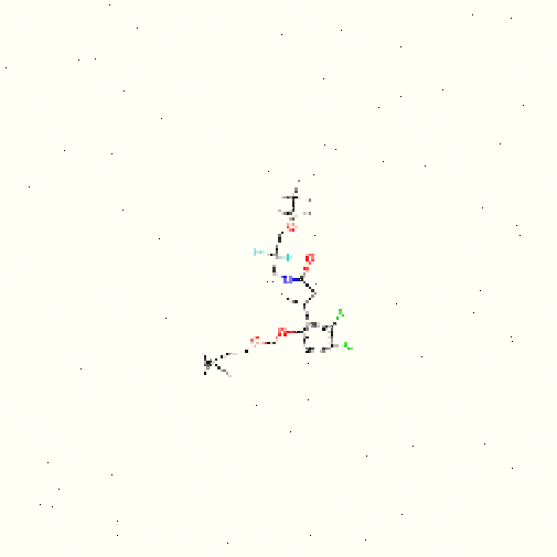 CC(C)(C)[Si](C)(C)OCC(F)(F)CN1CC(c2c(OCOCC[Si](C)(C)C)ccc(Cl)c2Cl)CC1=O